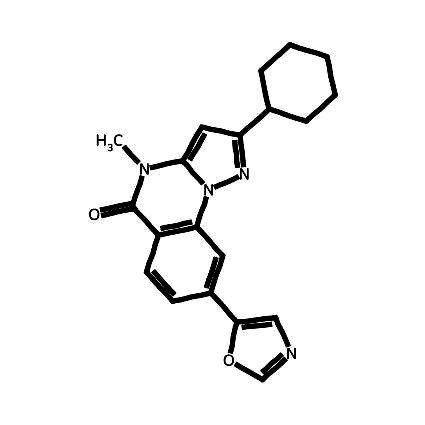 Cn1c(=O)c2ccc(-c3cnco3)cc2n2nc(C3CCCCC3)cc12